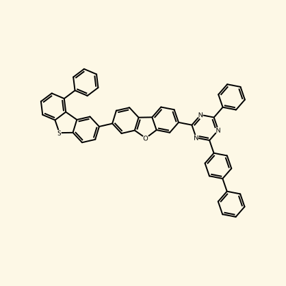 c1ccc(-c2ccc(-c3nc(-c4ccccc4)nc(-c4ccc5c(c4)oc4cc(-c6ccc7sc8cccc(-c9ccccc9)c8c7c6)ccc45)n3)cc2)cc1